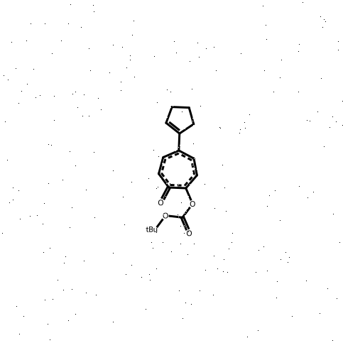 CC(C)(C)OC(=O)Oc1ccc(C2=CCCC2)ccc1=O